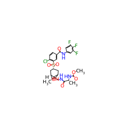 COC(=O)N[C@H](C)C(=O)NC[C@@]1(O)C2C[C@@H](S(=O)(=O)c3cc(C(=O)Nc4cc(F)c(F)c(F)c4)ccc3Cl)C[C@@H]1[C@@H](C)C2